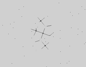 CCC(N(C)C(O)(O)O)(N(C)C(O)(O)O)C(O)(O)O